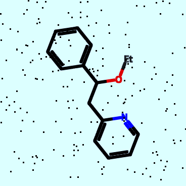 CCOC(Cc1ccccn1)c1ccccc1